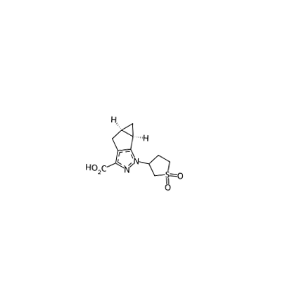 O=C(O)c1nn(C2CCS(=O)(=O)C2)c2c1C[C@H]1C[C@@H]21